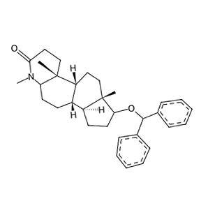 CN1C(=O)CC[C@@]2(C)C1CC[C@@H]1[C@H]2CC[C@]2(C)C(OC(c3ccccc3)c3ccccc3)CC[C@@H]12